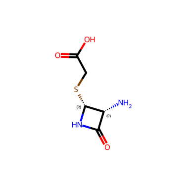 N[C@@H]1C(=O)N[C@@H]1SCC(=O)O